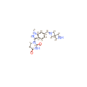 Cn1nc(N2CCC(=O)NC2=O)c2ccc(CN3CC4(CNC4)C3)cc21